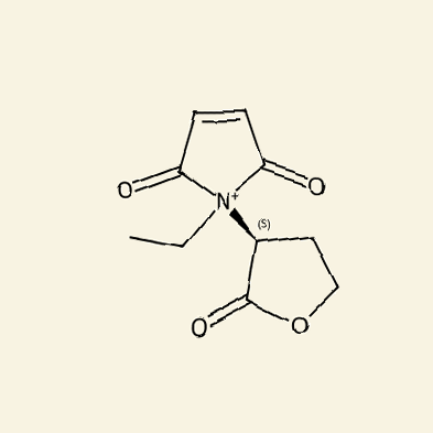 CC[N+]1([C@H]2CCOC2=O)C(=O)C=CC1=O